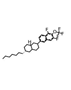 CCCCCCC[C@@H]1CC[C@@H]2CC(c3ccc4c(F)c(OC(F)(F)F)c(F)cc4c3)CCC2C1